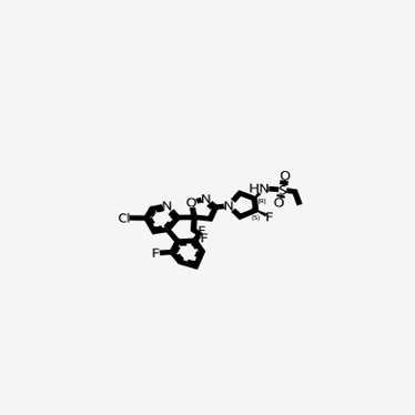 CCS(=O)(=O)N[C@@H]1CN(C2=NOC(CF)(c3ncc(Cl)cc3-c3c(F)cccc3F)C2)C[C@@H]1F